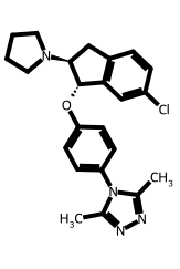 Cc1nnc(C)n1-c1ccc(O[C@H]2c3cc(Cl)ccc3C[C@@H]2N2CCCC2)cc1